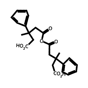 CC(CC(=O)O)(CC(=O)OC(=O)CC(C)(CC(=O)O)c1ccccc1)c1ccccc1